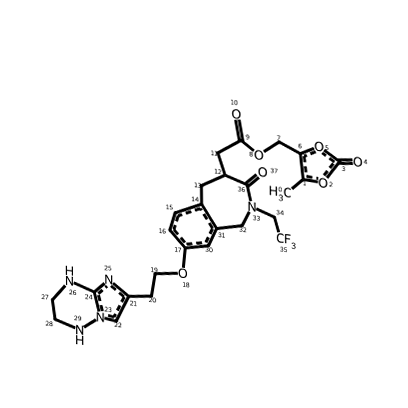 Cc1oc(=O)oc1COC(=O)CC1Cc2ccc(OCCc3cn4c(n3)NCCN4)cc2CN(CC(F)(F)F)C1=O